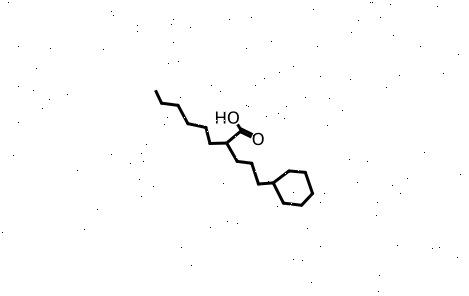 CCCCCCC(CCCC1CCCCC1)C(=O)O